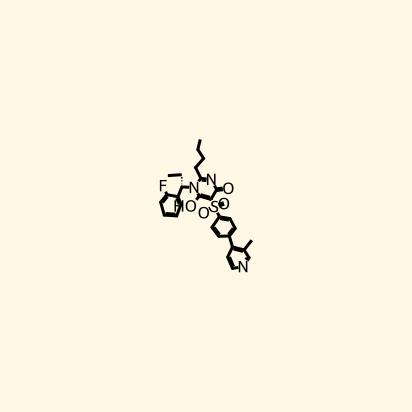 CCCCc1nc(=O)c(S(=O)(=O)c2ccc(-c3ccncc3C)cc2)c(O)n1[C@@H](CC)c1ccccc1F